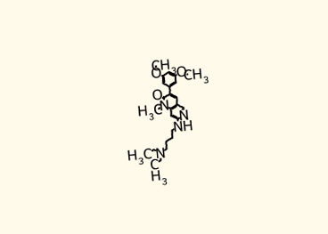 CCN(CC)CCCCNc1cc2c(cn1)cc(-c1cc(OC)cc(OC)c1)c(=O)n2C